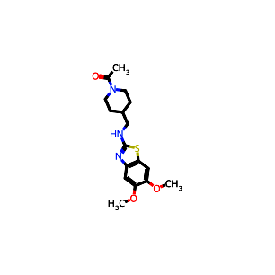 COc1cc2nc(NCC3CCN(C(C)=O)CC3)sc2cc1OC